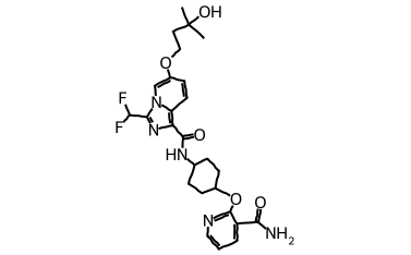 CC(C)(O)CCOc1ccc2c(C(=O)NC3CCC(Oc4ncccc4C(N)=O)CC3)nc(C(F)F)n2c1